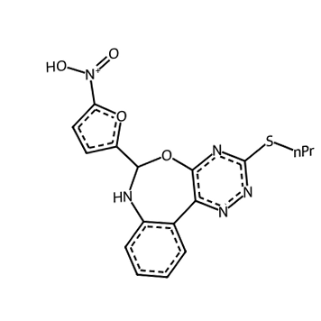 CCCSc1nnc2c(n1)OC(c1ccc([N+](=O)O)o1)Nc1ccccc1-2